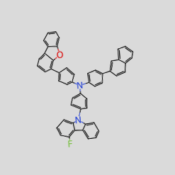 Fc1cccc2c1c1ccccc1n2-c1ccc(N(c2ccc(-c3ccc4ccccc4c3)cc2)c2ccc(-c3cccc4c3oc3ccccc34)cc2)cc1